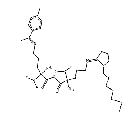 CCCCCCCC1CCCC1=NCCCC(N)(C(=O)OC(=O)C(N)(CCCN=C(C)c1ccc(C)cc1)C(F)F)C(F)F